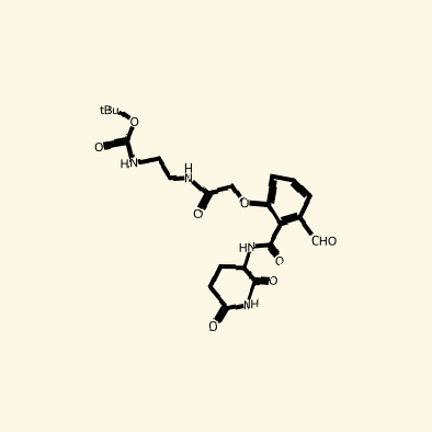 CC(C)(C)OC(=O)NCCNC(=O)COc1cccc(C=O)c1C(=O)NC1CCC(=O)NC1=O